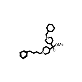 COC([O])(C1CCN(CCCCc2ccccc2)CC1)C1CCN(CC2CCCCC2)CC1